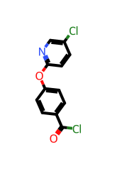 O=C(Cl)c1ccc(Oc2ccc(Cl)cn2)cc1